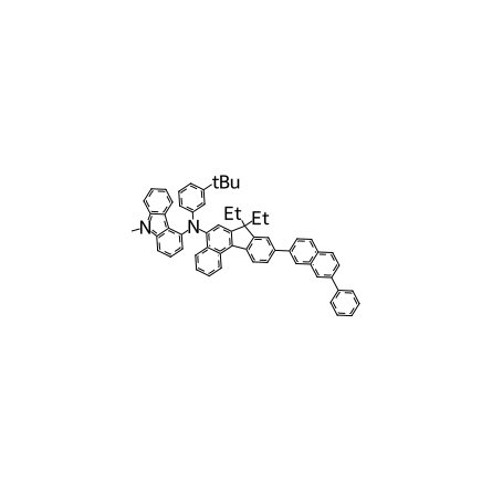 CCC1(CC)c2cc(-c3ccc4ccc(-c5ccccc5)cc4c3)ccc2-c2c1cc(N(c1cccc(C(C)(C)C)c1)c1cccc3c1c1ccccc1n3C)c1ccccc21